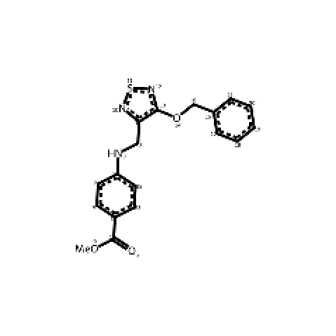 COC(=O)c1ccc(NCc2nsnc2OCc2ccccc2)cc1